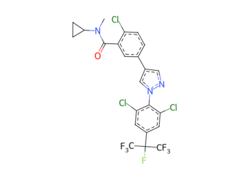 CN(C(=O)c1cc(-c2cnn(-c3c(Cl)cc(C(F)(C(F)(F)F)C(F)(F)F)cc3Cl)c2)ccc1Cl)C1CC1